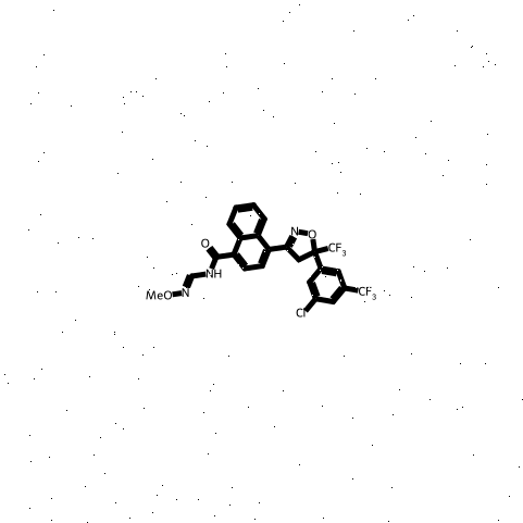 CON=CNC(=O)c1ccc(C2=NOC(c3cc(Cl)cc(C(F)(F)F)c3)(C(F)(F)F)C2)c2ccccc12